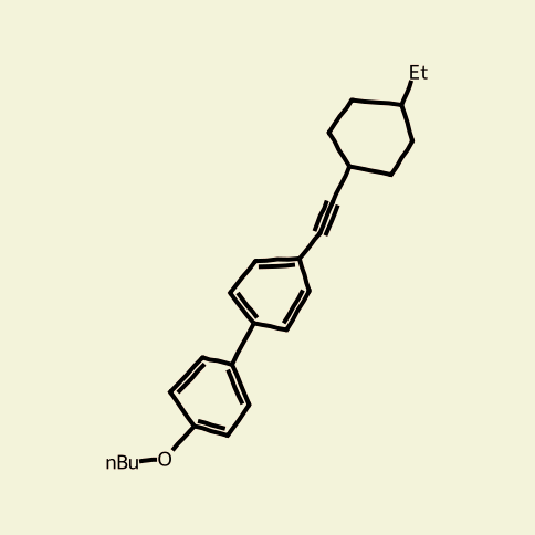 CCCCOc1ccc(-c2ccc(C#CC3CCC(CC)CC3)cc2)cc1